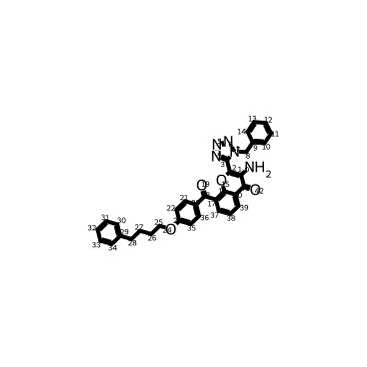 Nc1c(-c2nnnn2Cc2ccccc2)oc2c(C(=O)c3ccc(OCCCCc4ccccc4)cc3)cccc2c1=O